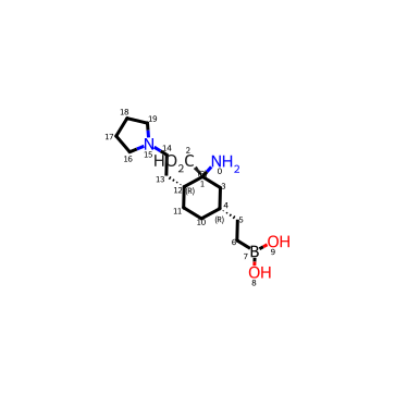 N[C@]1(C(=O)O)C[C@H](CCB(O)O)CC[C@@H]1CCN1CCCC1